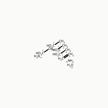 C=C.CC(=O)O.CC(=O)O.CC(=O)O.CC(=O)O.N.N.O